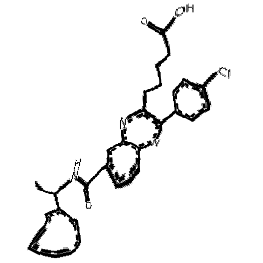 CC(NC(=O)c1ccc2nc(-c3ccc(Cl)cc3)c(CCCCC(=O)O)nc2c1)c1ccccc1